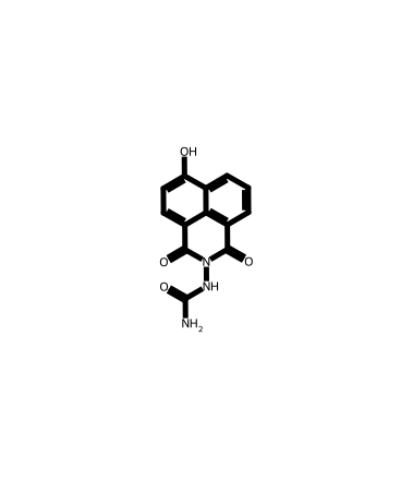 NC(=O)NN1C(=O)c2cccc3c(O)ccc(c23)C1=O